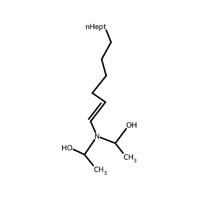 CCCCCCCCCCCC=CN(C(C)O)C(C)O